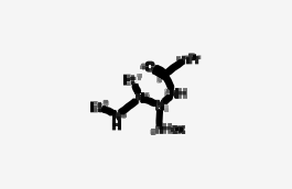 CCCCCCN(NC(=O)CCC)N(CC)NCC